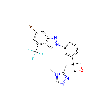 Cn1cnnc1CC1(c2cccc(-n3cc4c(C(F)(F)F)cc(Br)cc4n3)c2)COC1